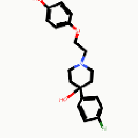 Oc1ccc(OCCN2CCC(O)(c3ccc(Cl)cc3)CC2)cc1